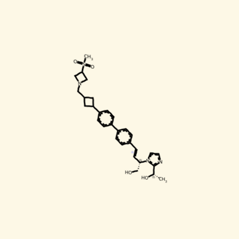 C[C@H](O)c1nccn1[C@@H](/C=C/c1ccc(-c2ccc(C3CC(CN4CC(S(C)(=O)=O)C4)C3)cc2)cc1)CO